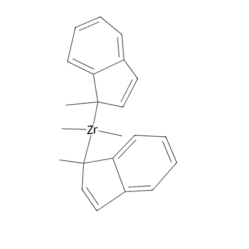 C[C]1([Zr]([CH3])([CH3])[C]2(C)C=Cc3ccccc32)C=Cc2ccccc21